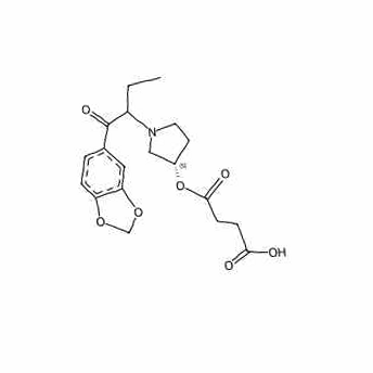 CCC(C(=O)c1ccc2c(c1)OCO2)N1CC[C@H](OC(=O)CCC(=O)O)C1